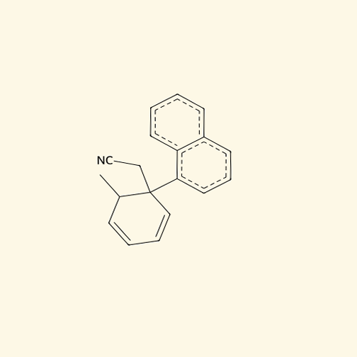 CC1C=CC=CC1(CC#N)c1cccc2ccccc12